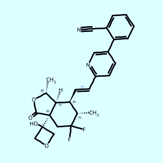 C[C@H]1OC(=O)[C@]2(C3(O)COC3)CC(F)(F)[C@@H](C)[C@H](/C=C/c3ccc(-c4ccccc4C#N)cn3)[C@H]12